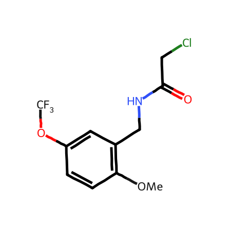 COc1ccc(OC(F)(F)F)cc1CNC(=O)CCl